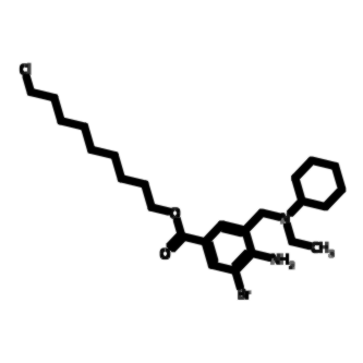 CCN(Cc1cc(C(=O)OCCCCCCCCCCl)cc(Br)c1N)C1CCCCC1